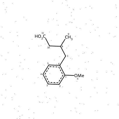 COc1ccccc1CC(C)CC(=O)O